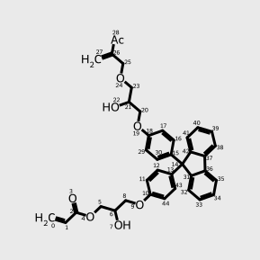 C=CC(=O)OCC(O)COc1ccc(C2(c3ccc(OCC(O)COCC(=C)C(C)=O)cc3)c3ccccc3-c3ccccc32)cc1